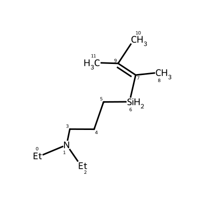 CCN(CC)CCC[SiH2]C(C)=C(C)C